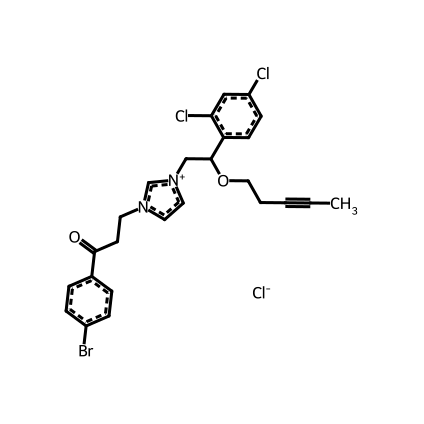 CC#CCCOC(C[n+]1ccn(CCC(=O)c2ccc(Br)cc2)c1)c1ccc(Cl)cc1Cl.[Cl-]